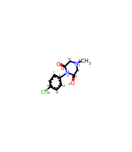 CN1CC(=O)N(c2ccc(Cl)cc2)C(=O)C1